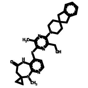 Cc1nc(N2CCC3(CC2)Cc2ccccc2C3)c(CO)nc1Sc1ccnc2c1NC(=O)CC1(CC1)N2C